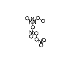 c1ccc(-c2cccc(-c3nc(-c4ccccc4)nc(-c4ccc(-c5nc6ccccc6c6c(-c7cccc(-n8c9ccccc9c9ccccc98)c7)cccc56)cc4)n3)c2)cc1